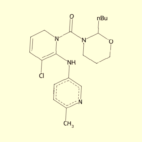 CCCCC1OCCCN1C(=O)N1CC=CC(Cl)=C1Nc1ccc(C)nc1